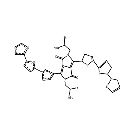 CCCCC(CC)CN1C(=O)C2=C(C3CC=C(C4=CCC(C5CC=CS5)S4)S3)N(CC(CC)CCCC)C(=O)C2=C1c1ccc(-c2ccc(-c3cccs3)s2)s1